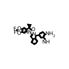 N=Cc1cc(-c2nc(NC(=O)C3(c4ccc5c(c4)OC(F)(F)O5)CC3)cc3ccccc23)ccc1N